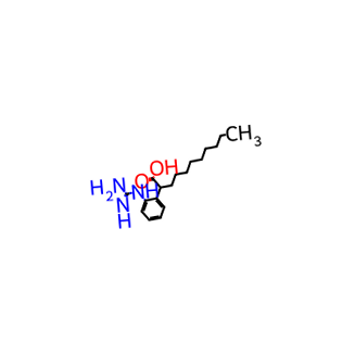 CCCCCCCCCC(C(=O)O)c1ccccc1NC(=N)N